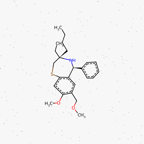 CCCC[C@]1(CC)CSc2cc(OC)c(COC)cc2[C@H](c2ccccc2)N1